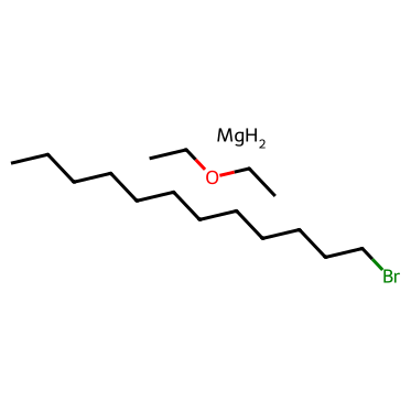 CCCCCCCCCCCCBr.CCOCC.[MgH2]